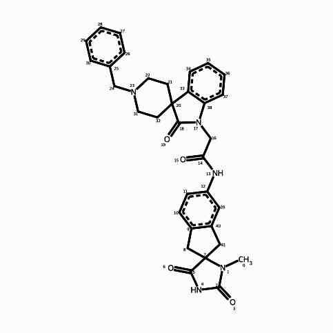 CN1C(=O)NC(=O)C12Cc1ccc(NC(=O)CN3C(=O)C4(CCN(Cc5ccccc5)CC4)c4ccccc43)cc1C2